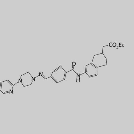 CCOC(=O)CC1CCc2ccc(NC(=O)c3ccc(/C=N/N4CCN(c5ccccn5)CC4)cc3)cc2C1